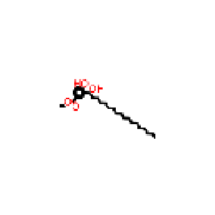 CCCCCCCCCCCCCCCCCC(O)c1cc(C(=O)OCC)ccc1O